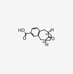 O=C(O)c1ccc2c(c1)C[C@H]1CC[C@@H](C2)C1=O